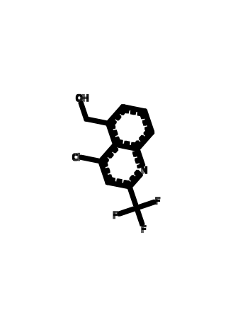 OCc1cccc2nc(C(F)(F)F)cc(Cl)c12